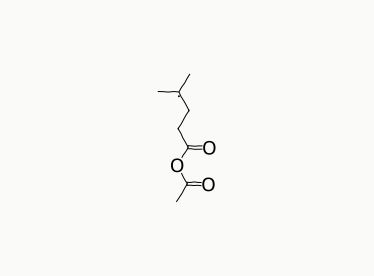 C[C](C)CCC(=O)OC(C)=O